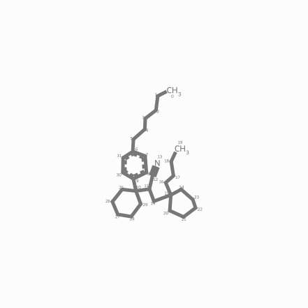 CCCCCCc1ccc(C2(C(C#N)CC3(CCCC)CCCCC3)CCCCC2)cc1